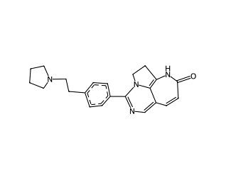 O=C1C=CC2=CN=C(c3ccc(CCN4CCCC4)cc3)N3CCC(=C23)N1